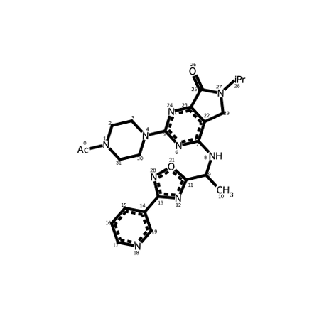 CC(=O)N1CCN(c2nc(NC(C)c3nc(-c4cccnc4)no3)c3c(n2)C(=O)N(C(C)C)C3)CC1